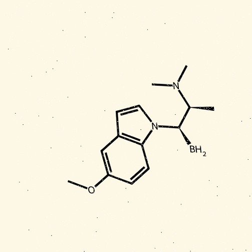 B[C@H]([C@H](C)N(C)C)n1ccc2cc(OC)ccc21